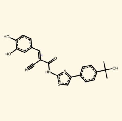 CC(C)(O)c1ccc(-c2csc(NC(=O)/C(C#N)=C/c3ccc(O)c(O)c3)n2)cc1